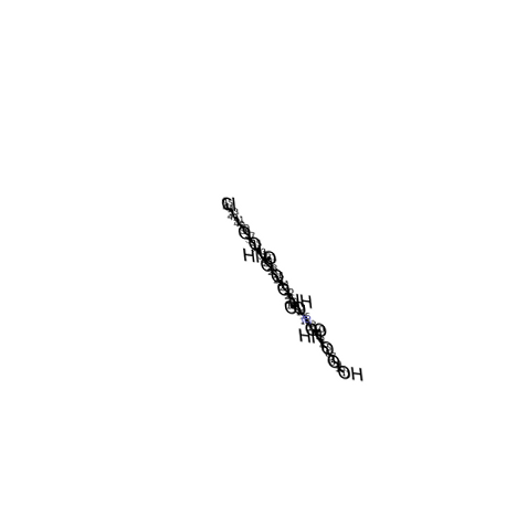 O=C(NCCOCCOCCO)OC/C=C/COC(=O)NCCOCCOCCOC(=O)NCCOCCOCCCCCCCl